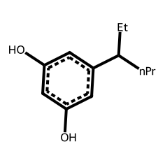 CCCC(CC)c1cc(O)cc(O)c1